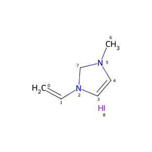 C=CN1C=CN(C)C1.I